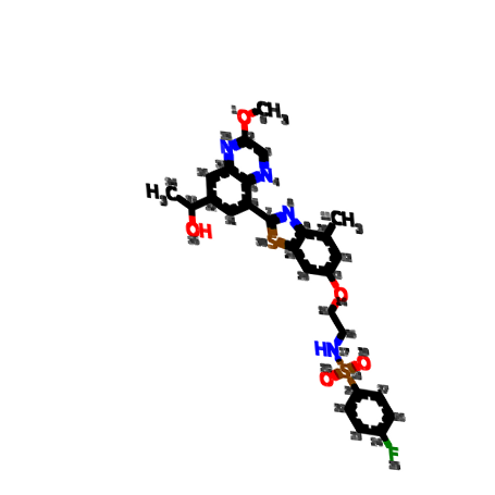 COc1cnc2c(-c3nc4c(C)cc(OCCNS(=O)(=O)c5ccc(F)cc5)cc4s3)cc(C(C)O)cc2n1